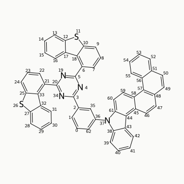 c1cc(-c2nc(-c3cccc4sc5ccccc5c34)nc(-c3cccc4sc5ccccc5c34)n2)cc(-n2c3ccccc3c3c4ccc5ccc6ccccc6c5c4ccc32)c1